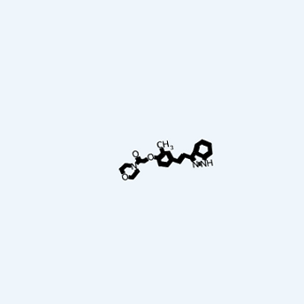 Cc1cc(/C=C/c2n[nH]c3ccccc23)ccc1OCC(=O)N1CCOCC1